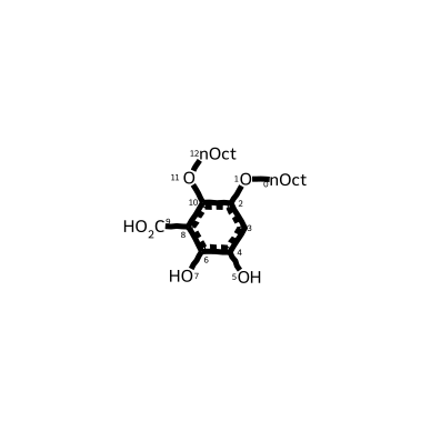 CCCCCCCCOc1cc(O)c(O)c(C(=O)O)c1OCCCCCCCC